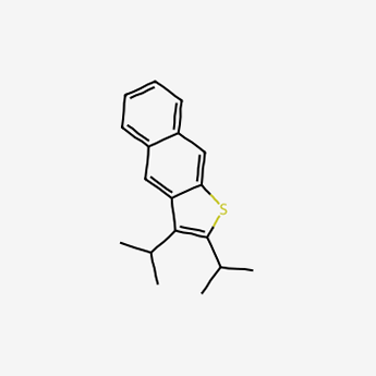 CC(C)c1sc2cc3ccccc3cc2c1C(C)C